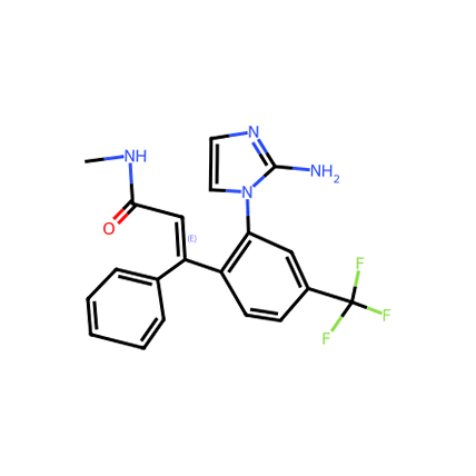 CNC(=O)/C=C(\c1ccccc1)c1ccc(C(F)(F)F)cc1-n1ccnc1N